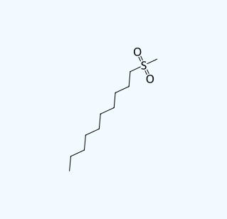 CCCCCCCCCCS(C)(=O)=O